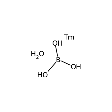 O.OB(O)O.[Tm]